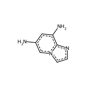 Nc1cc(N)c2nccn2c1